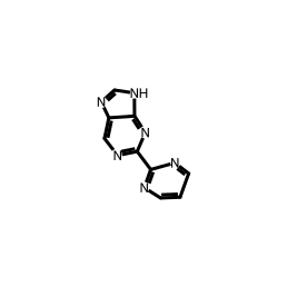 c1cnc(-c2ncc3nc[nH]c3n2)nc1